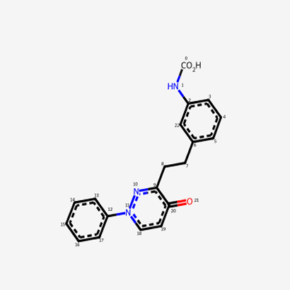 O=C(O)Nc1cccc(CCc2nn(-c3ccccc3)ccc2=O)c1